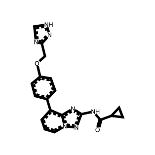 O=C(Nc1nc2c(-c3ccc(OCc4nc[nH]n4)cc3)cccn2n1)C1CC1